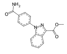 COC(=O)c1nn(-c2ccc(C(N)=O)cc2)c2ccccc12